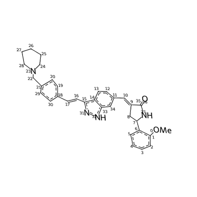 COc1ccccc1C1CC(=Cc2ccc3c(C=Cc4ccc(CN5CCCCC5)cc4)n[nH]c3c2)C(=O)N1